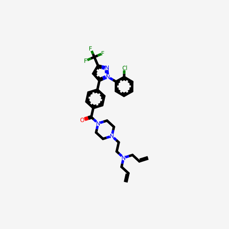 C=CCN(CC=C)CCN1CCN(C(=O)c2ccc(-c3cc(C(F)(F)F)nn3-c3ccccc3Cl)cc2)CC1